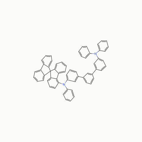 c1ccc(N(c2ccccc2)c2cccc(-c3cccc(-c4cccc(N(c5ccccc5)c5cccc6c5-c5ccccc5C65c6ccccc6-c6ccccc65)c4)c3)c2)cc1